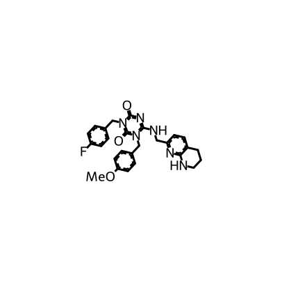 COc1ccc(Cn2c(NCc3ccc4c(n3)NCCC4)nc(=O)n(Cc3ccc(F)cc3)c2=O)cc1